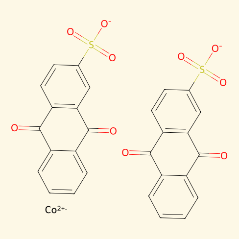 O=C1c2ccccc2C(=O)c2cc(S(=O)(=O)[O-])ccc21.O=C1c2ccccc2C(=O)c2cc(S(=O)(=O)[O-])ccc21.[Co+2]